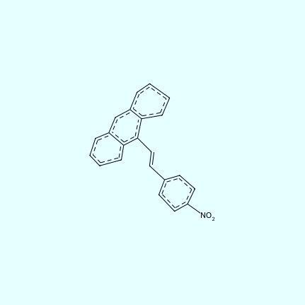 O=[N+]([O-])c1ccc(C=Cc2c3ccccc3cc3ccccc23)cc1